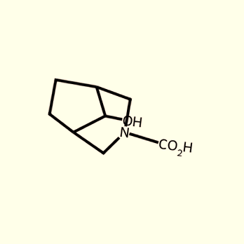 O=C(O)N1CC2CCC(C1)C2O